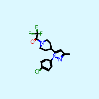 Cc1cc(C2CCN(C(=O)C(F)(F)F)CC2)n(-c2ccc(Cl)cc2)n1